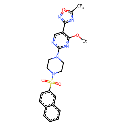 CCOc1nc(N2CCN(S(=O)(=O)c3ccc4ccccc4c3)CC2)ncc1-c1noc(C(F)(F)F)n1